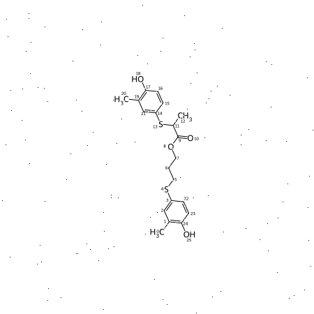 Cc1cc(SCCCOC(=O)C(C)Sc2ccc(O)c(C)c2)ccc1O